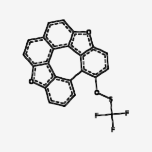 FC(F)(F)SOc1ccc2oc3ccc4ccc5oc6cccc7c6c5c4c3c2c1-7